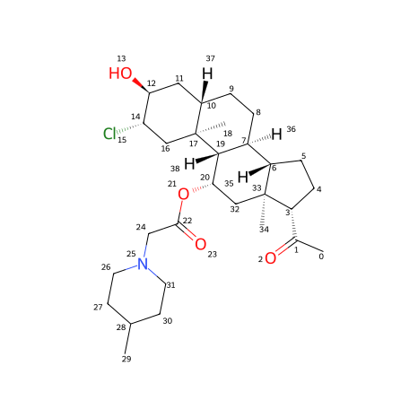 CC(=O)[C@H]1CC[C@H]2[C@@H]3CC[C@H]4C[C@H](O)[C@@H](Cl)C[C@]4(C)[C@H]3[C@@H](OC(=O)CN3CCC(C)CC3)C[C@]12C